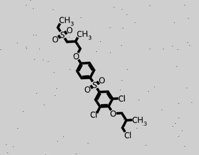 CCS(=O)(=O)CC(C)COc1ccc(S(=O)(=O)c2cc(Cl)c(OCC(C)CCl)c(Cl)c2)cc1